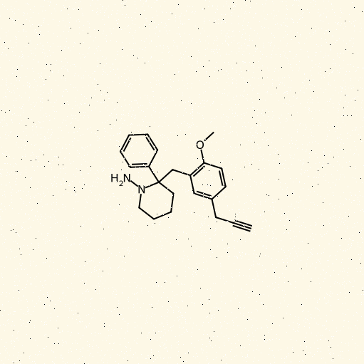 C#CCc1ccc(OC)c(CC2(c3ccccc3)CCCCN2N)c1